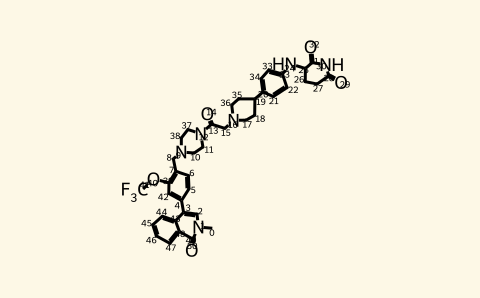 Cn1cc(-c2ccc(CN3CCN(C(=O)CN4CCC(c5ccc(NC6CCC(=O)NC6=O)cc5)CC4)CC3)c(OC(F)(F)F)c2)c2ccccc2c1=O